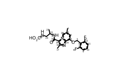 Cc1cc(OCc2c(F)cccc2F)c2nc(C)c(C(=O)NC(C)CNC(=O)O)n2c1